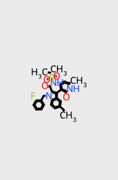 CCc1ccc2c(c1)c(-c1ccc(C)[nH]c1=O)c(C(=O)NS(=O)(=O)C(C)C)n2Cc1ccccc1F